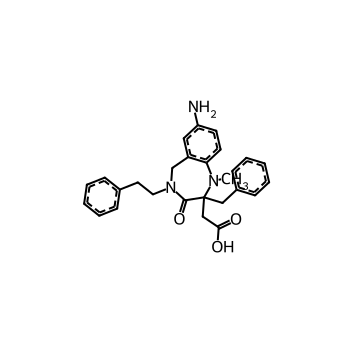 CN1c2ccc(N)cc2CN(CCc2ccccc2)C(=O)C1(CC(=O)O)Cc1ccccc1